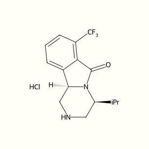 CC(C)[C@H]1CNC[C@H]2c3cccc(C(F)(F)F)c3C(=O)N12.Cl